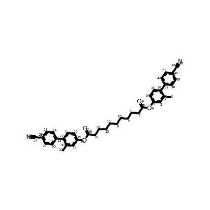 Cc1cc(OC(=O)CCCCCCCCCC(=O)Oc2ccc(-c3ccc(C#N)cc3)c(C)c2)ccc1-c1ccc(C#N)cc1